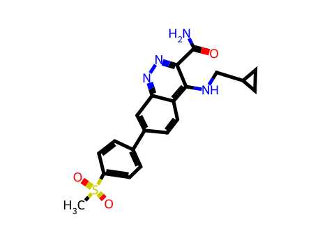 CS(=O)(=O)c1ccc(-c2ccc3c(NCC4CC4)c(C(N)=O)nnc3c2)cc1